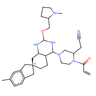 C=CC(=O)N1CCN(C2NC(OCC3CCCN3C)NC3C[C@@]4(CCC32)Cc2ccc(C)cc2C4)CC1CC#N